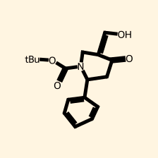 CC(C)(C)OC(=O)N1C/C(=C/O)C(=O)CC1c1ccccc1